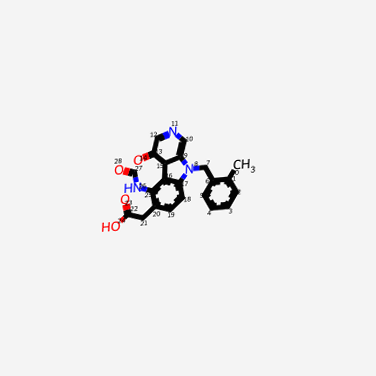 Cc1ccccc1CN1C2=CN=CC(=O)C2c2c1ccc(CC(=O)O)c2NC=O